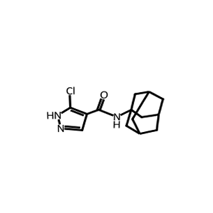 O=C(NC12CC3CC(CC(C3)C1)C2)c1cn[nH]c1Cl